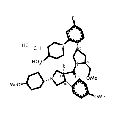 COC[C@@H]1C[C@@H](c2ccc(F)cc2N2CCC(C(=O)O)CC2)CN1C(=O)[C@]1(F)CN([C@H]2CC[C@H](OC)CC2)C[C@H]1c1ccc(OC)cc1.Cl.Cl